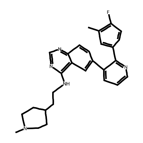 Cc1cc(-c2ncccc2-c2ccc3ncnc(NCCC4CCN(C)CC4)c3c2)ccc1F